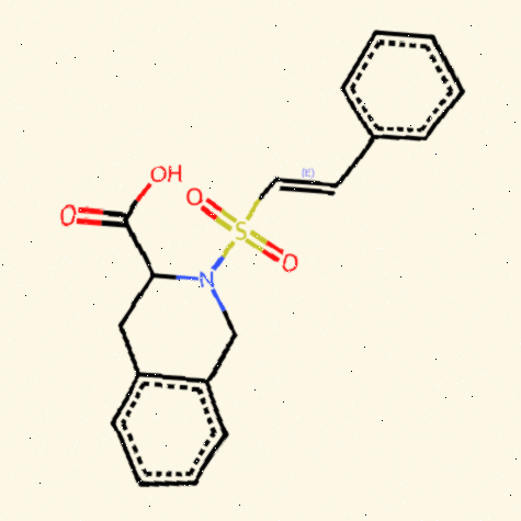 O=C(O)C1Cc2ccccc2CN1S(=O)(=O)/C=C/c1ccccc1